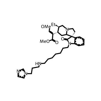 CC[C@H]1CN2CC[C@]3(C(=O)N(CCCCCCCNCCCn4ccnc4)c4ccccc43)C2C[C@@H]1/C(=C\OC)C(=O)OC